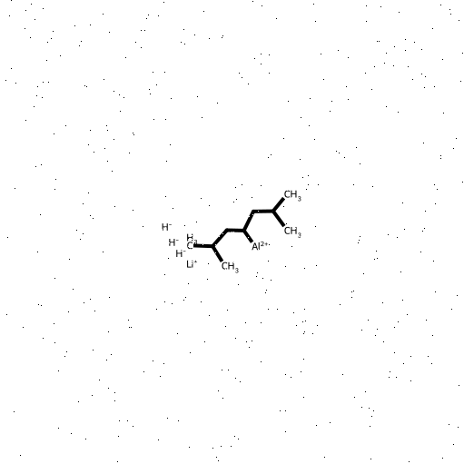 CC(C)C[CH]([Al+2])CC(C)C.[H-].[H-].[H-].[Li+]